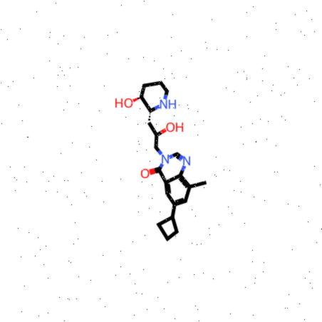 Cc1cc(C2CCC2)cc2c(=O)n(CC(O)C[C@H]3NCCC[C@@H]3O)cnc12